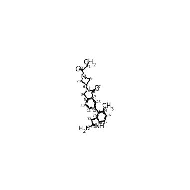 C=CC(=O)N1CC(N2Cc3ccc(-c4c(C)ccc5[nH]c(N)cc45)cc3C2=O)C1